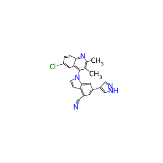 Cc1nc2ccc(Cl)cc2c(-n2ccc3c(C#N)cc(-c4cn[nH]c4)cc32)c1C